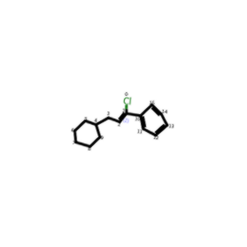 Cl/C(=C\CC1CCCCC1)c1ccccc1